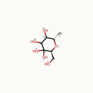 CC(C)[C@@H]1O[C@@H](CO)C(O)(O)C(O)C1O